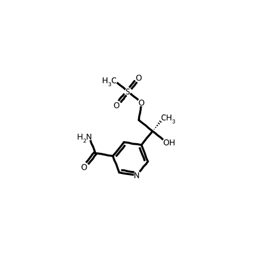 C[C@@](O)(COS(C)(=O)=O)c1cncc(C(N)=O)c1